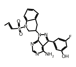 C/C=C/S(=O)(=O)N1CC(n2nc(-c3cc(O)cc(F)c3)c3c(N)ncnc32)Cc2ccccc21